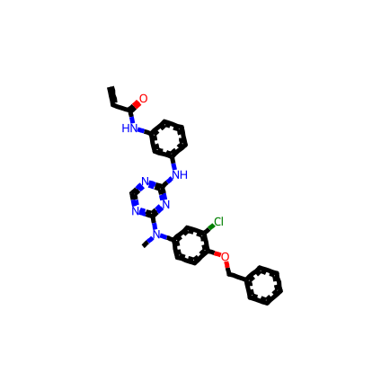 C=CC(=O)Nc1cccc(Nc2ncnc(N(C)c3ccc(OCc4ccccc4)c(Cl)c3)n2)c1